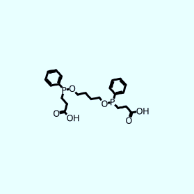 O=C(O)CCP(OCCCCOP(CCC(=O)O)c1ccccc1)c1ccccc1